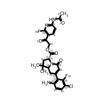 CC(=O)Nc1ccc(C(=O)COC(=O)[C@@H]2CC(C)(C)C3CC(c4c(N)ccc(Cl)c4F)=CC(=O)N32)c(F)n1